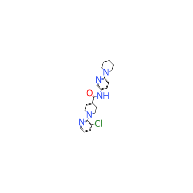 O=C(Nc1ccc(N2CCCCC2)nc1)C1=CCN(c2ncccc2Cl)CC1